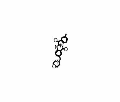 Cc1ccc2c(c1)C(=O)c1nc3ccc(CN4CCOCC4)cc3c(=O)n1-2